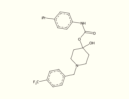 CC(C)c1ccc(NC(=O)OC2(O)CCN(Cc3ccc(C(F)(F)F)cc3)CC2)cc1